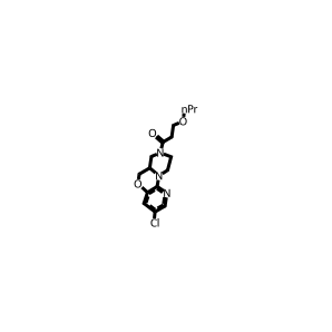 CCCOCCC(=O)N1CCN2c3ncc(Cl)cc3OCC2C1